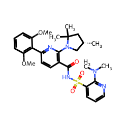 COc1cccc(OC)c1-c1ccc(C(=O)NS(=O)(=O)c2cccnc2N(C)C)c(N2C[C@@H](C)CC2(C)C)n1